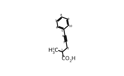 CC(CC#Cc1ccccc1)C(=O)O